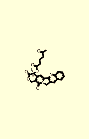 CC(=O)CCCC(=O)O[C@]1(I)C(=O)OCc2c1cc1n(c2=O)Cc2cc3ccccc3nc2-1